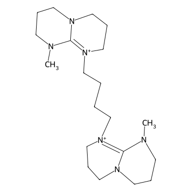 CN1CCCN2CCC[N+](CCCC[N+]3=C4N(C)CCCN4CCC3)=C12